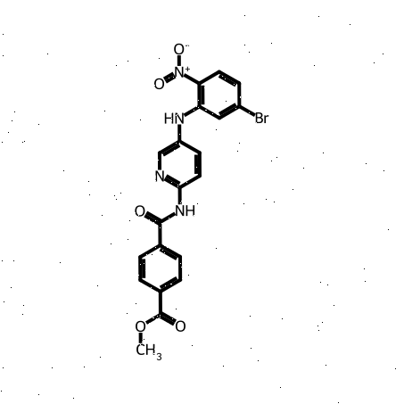 COC(=O)c1ccc(C(=O)Nc2ccc(Nc3cc(Br)ccc3[N+](=O)[O-])cn2)cc1